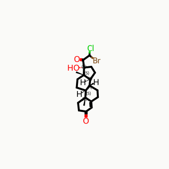 C[C@]12CCC(=O)C=C1CC[C@@H]1[C@@H]2CC[C@@]2(C)[C@H]1CC[C@]2(O)C(=O)C(Cl)Br